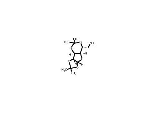 CC1(C)O[C@H]2O[C@H]3[C@H](OC(C)(C)O[C@@H]3CN)[C@H]2O1